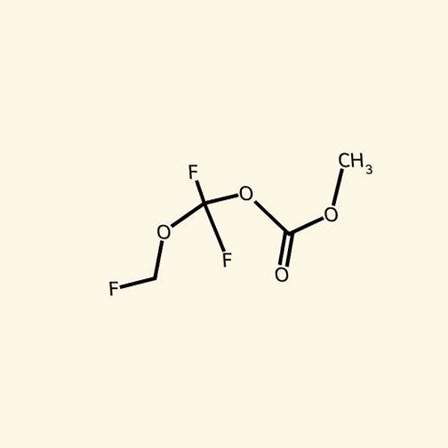 COC(=O)OC(F)(F)OCF